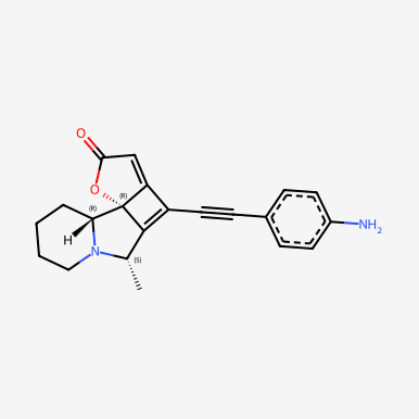 C[C@H]1C2=C(C#Cc3ccc(N)cc3)C3=CC(=O)O[C@]32[C@H]2CCCCN12